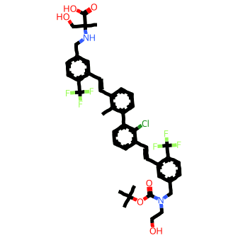 Cc1c(/C=C/c2cc(CNC(C)(CO)C(=O)O)ccc2C(F)(F)F)cccc1-c1cccc(/C=C/c2cc(CN(CCO)C(=O)OC(C)(C)C)ccc2C(F)(F)F)c1Cl